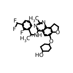 Cc1nc(N[C@H](C)c2cccc(C(F)F)c2F)c2cc(OC3CCC(O)CC3)c3c(c2n1)CCO3